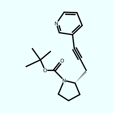 CC(C)(C)OC(=O)N1CCC[C@H]1CC#Cc1cccnc1